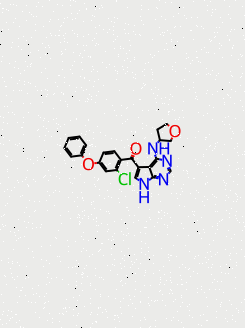 O=C(c1ccc(Oc2ccccc2)cc1Cl)c1c[nH]c2ncnc(NC3CCOC3)c12